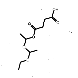 CCOC(C)OC(C)OC(=O)CCC(=O)O